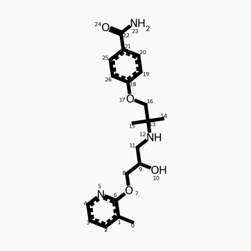 Cc1cccnc1OCC(O)CNC(C)(C)COc1ccc(C(N)=O)cc1